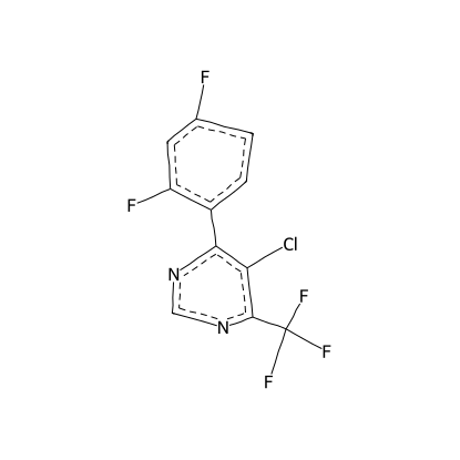 Fc1ccc(-c2ncnc(C(F)(F)F)c2Cl)c(F)c1